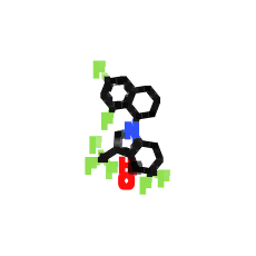 O[C@H]1c2c(C(F)(F)F)cn(C3CCCc4cc(F)cc(F)c43)c2CCC1(F)F